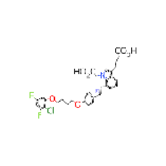 O=C(O)CCCc1cn(CC(=O)O)c2c(/C=C/c3ccc(OCCCCOc4cc(F)cc(F)c4Cl)cc3)cccc12